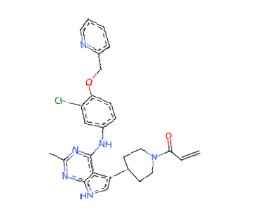 C=CC(=O)N1CCC(c2c[nH]c3nc(C)nc(Nc4ccc(OCc5ccccn5)c(Cl)c4)c23)CC1